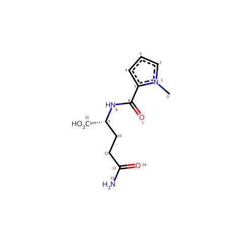 Cn1cccc1C(=O)N[C@H](CCC(N)=O)C(=O)O